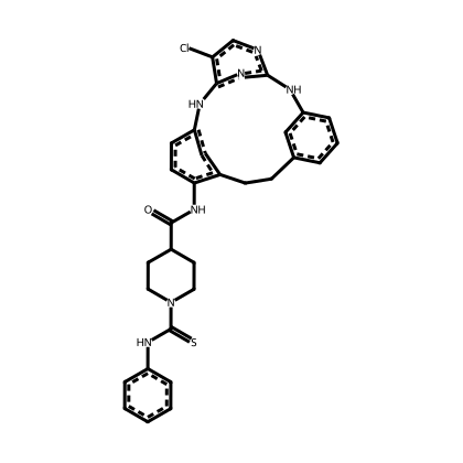 O=C(Nc1ccc2cc1CCc1cccc(c1)Nc1ncc(Cl)c(n1)N2)C1CCN(C(=S)Nc2ccccc2)CC1